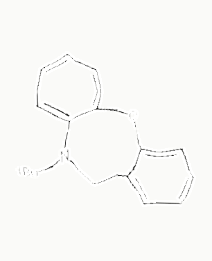 CC(C)(C)N1Cc2ccccc2Oc2ccccc21